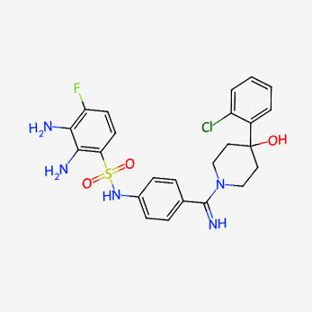 N=C(c1ccc(NS(=O)(=O)c2ccc(F)c(N)c2N)cc1)N1CCC(O)(c2ccccc2Cl)CC1